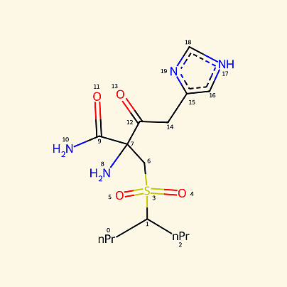 CCCC(CCC)S(=O)(=O)CC(N)(C(N)=O)C(=O)Cc1c[nH]cn1